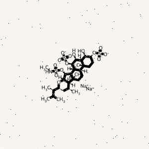 CNS(=O)(=O)O[C@@H]1[C@H]2O[C@@H]([C@@H](C)C(C)C)C[C@@H](C)[C@@H]2[C@@]2(C)CC[C@H]3[C@@H]([C@@H](OS(=O)(=O)[O-])[C@@H](O)[C@H]4[C@@H](O)[C@H](OS(=O)(=O)[O-])CC[C@@]43C)[C@H]12.[Na+].[Na+]